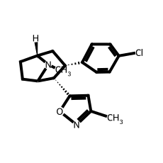 Cc1cc([C@@H]2C3CC[C@H](C[C@@H]2c2ccc(Cl)cc2)N3C)on1